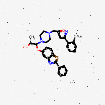 COc1ccccc1-c1cc(CN2CCN(C(Oc3ccc4sc(-c5ccccc5)nc4c3)[C@@H](C)O)CC2)on1